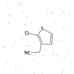 N#CCc1ccsc1Cl